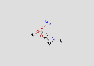 CO[Si](CCCN(C)C)(OC)OCN